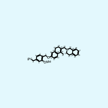 COc1cc(CC(C)C)ccc1COc1ccc2c(c1)CCC(CN1CCc3ccccc3C1)=C2C